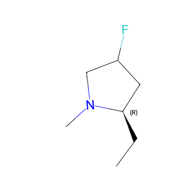 CC[C@@H]1CC(F)CN1C